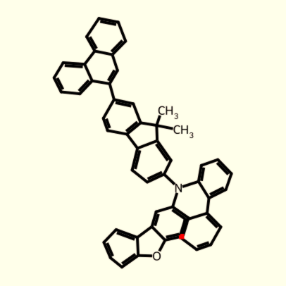 CC1(C)c2cc(-c3cc4ccccc4c4ccccc34)ccc2-c2ccc(N(c3ccc4oc5ccccc5c4c3)c3ccccc3-c3ccccc3)cc21